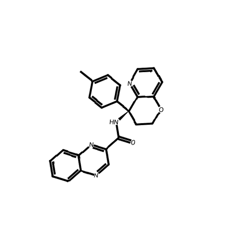 Cc1ccc([C@@]2(NC(=O)c3cnc4ccccc4n3)CCOc3cccnc32)cc1